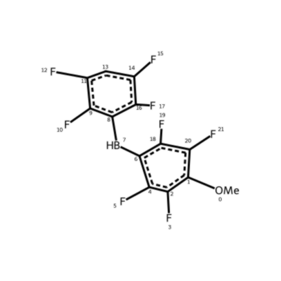 COc1c(F)c(F)c(Bc2c(F)c(F)cc(F)c2F)c(F)c1F